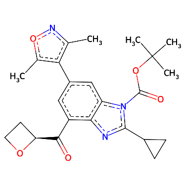 Cc1noc(C)c1-c1cc(C(=O)[C@@H]2CCO2)c2nc(C3CC3)n(C(=O)OC(C)(C)C)c2c1